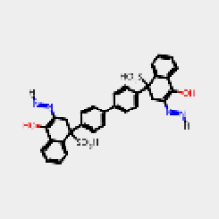 [H]/N=N/C1=C(O)c2ccccc2C(c2ccc(-c3ccc(C4(S(=O)(=O)O)CC(/N=N/[H])=C(O)c5ccccc54)cc3)cc2)(S(=O)(=O)O)C1